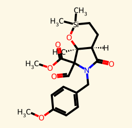 COC(=O)C1(C=O)N(Cc2ccc(OC)cc2)C(=O)[C@@H]2CC[Si](C)(C)O[C@@]21C